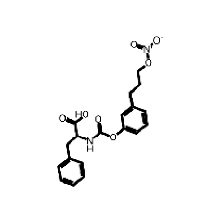 O=C(NC(Cc1ccccc1)C(=O)O)Oc1cccc(CCCO[N+](=O)[O-])c1